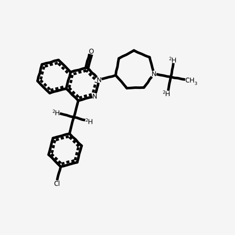 [2H]C([2H])(c1ccc(Cl)cc1)c1nn(C2CCCN(C([2H])([2H])C)CC2)c(=O)c2ccccc12